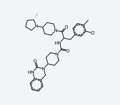 Cc1ccc(CC(NC(=O)N2CCC(N3Cc4ccccc4NC3=O)CC2)C(=O)N2CCC(N3CCC[C@@H]3C)CC2)cc1Cl